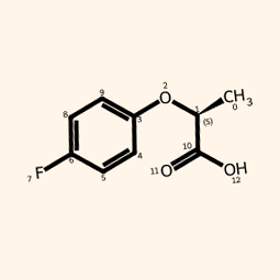 C[C@H](Oc1ccc(F)cc1)C(=O)O